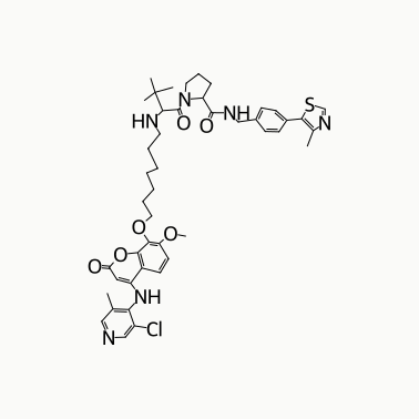 COc1ccc2c(Nc3c(C)cncc3Cl)cc(=O)oc2c1OCCCCCCCNC(C(=O)N1CCCC1C(=O)NCc1ccc(-c2scnc2C)cc1)C(C)(C)C